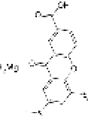 CSc1cc(SC)c2oc3ccc(C(=O)O)cc3c(=O)c2c1.[MgH2]